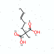 CC=CCCC(C)(C(=O)O)C(=O)O